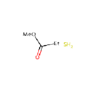 CCC(=O)OC.S